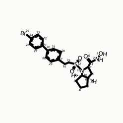 O=C(NO)C1C[C@H]2CCC[C@H]2N1S(=O)(=O)CCc1ccc(-c2ccc(Br)cc2)cc1